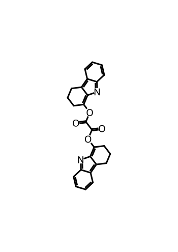 O=C(OC1=C2N=c3ccccc3=C2CCC1)C(=O)OC1=C2N=c3ccccc3=C2CCC1